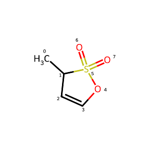 CC1C=COS1(=O)=O